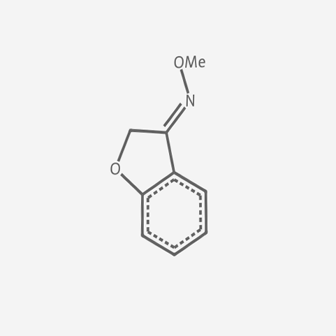 CO/N=C1\COc2ccccc21